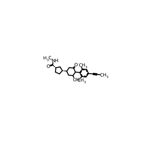 CC#Cc1cc(C)c(C2C(=O)CC([C@H]3CC[C@@H](C(=O)NC)C3)CC2O)c(C)c1